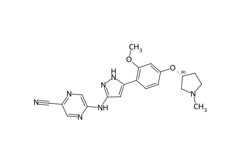 COc1cc(O[C@@H]2CCN(C)C2)ccc1-c1cc(Nc2cnc(C#N)cn2)n[nH]1